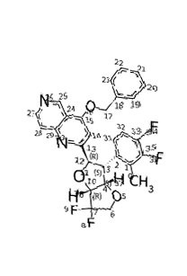 Cc1c([C@@H]2[C@@H]3OCC(F)(F)[C@@H]3O[C@H]2c2cc(OCc3ccccc3)c3cnccc3n2)ccc(F)c1F